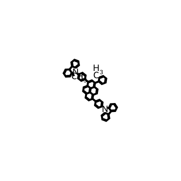 Cc1ccccc1-c1cc(-c2ccc(N3c4ccccc4C4C=CC=CC43C)cc2)c2ccc3ccc(-c4ccc(-n5c6ccccc6c6ccccc65)cc4)c4ccc1c2c34